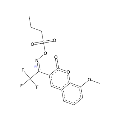 CCCS(=O)(=O)O/N=C(\c1cc2cccc(OC)c2oc1=O)C(F)(F)F